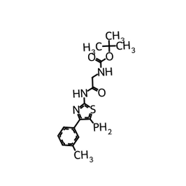 Cc1cccc(-c2nc(NC(=O)CNC(=O)OC(C)(C)C)sc2P)c1